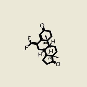 C[C@]12CCC(=O)C=C1C(=C(F)F)C[C@@H]1[C@H]2CC[C@]2(C)C(=O)CC[C@@H]12